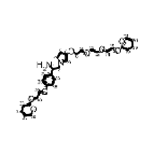 NC(CN1CC[C@@H](OCCOCCOCCOC2CCCCO2)C1)c1ccc(OCCOC2CCCCO2)cc1